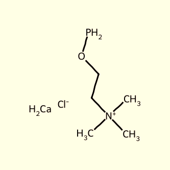 C[N+](C)(C)CCOP.[CaH2].[Cl-]